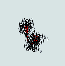 CCC(=O)O[C@H](CC)CC(=O)NC1C(OC(=O)C[C@@H](CC)OC(=O)CC)[C@H](OP(=O)(O)O)C(CO)O[C@H]1OCC1O[C@H](OCCNC(=O)CCc2cn(CCO[C@@H]3OC(CO)[C@@H](O[C@@H]4OC(CO)[C@H](O)C(O[C@]5(C(=O)O)CC(O)[C@@H](NC(=O)Cc6ccccc6)C([C@H](O)[C@H](O)CO)O5)C4O)C(O)C3O)nn2)C(NC(=O)C[C@H](O)CC)C(OC(=O)C[C@H](O)CC)[C@@H]1O